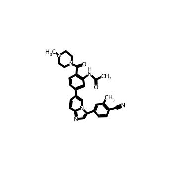 CC(=O)Nc1cc(-c2ccc3ncc(-c4ccc(C#N)c(C)c4)n3c2)ccc1C(=O)N1CCN(C)CC1